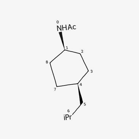 CC(=O)N[C@H]1CC[C@@H](CC(C)C)CC1